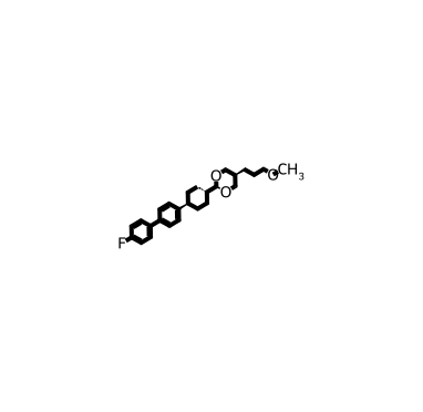 COCCC[C@H]1CO[C@H]([C@H]2CC[C@H](c3ccc(-c4ccc(F)cc4)cc3)CC2)OC1